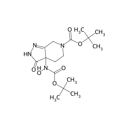 CC(C)(C)OC(=O)N1CCC2(N(O)C(=O)OC(C)(C)C)C(=O)NN=C2C1